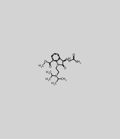 COC(=O)c1cccc2c1N(CCN(C(C)C)C(C)C)C(=O)/C2=N\NC(N)=O